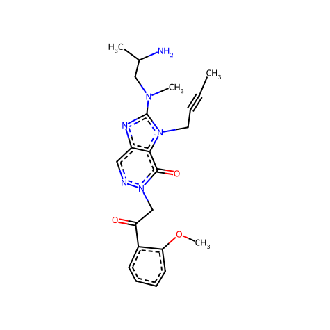 CC#CCn1c(N(C)CC(C)N)nc2cnn(CC(=O)c3ccccc3OC)c(=O)c21